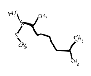 CSN(C)C(C)CCCC(C)C